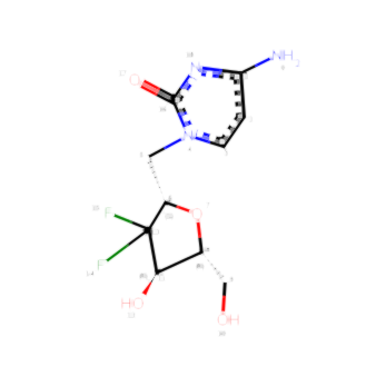 Nc1ccn(C[C@@H]2O[C@H](CO)[C@@H](O)C2(F)F)c(=O)n1